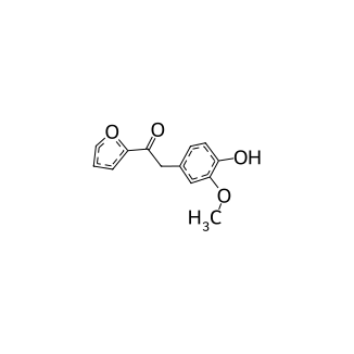 COc1cc(CC(=O)c2ccco2)ccc1O